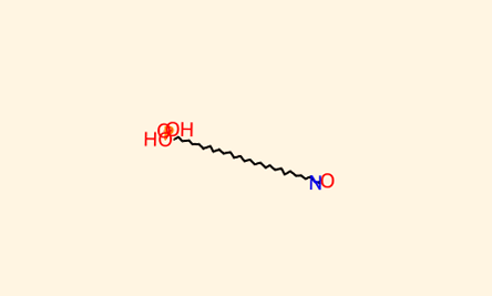 O=C=NCCCCCCCCCCCCCCCCCCCCCCCCCCCCP(=O)(O)O